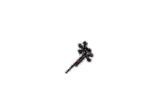 CCCCCCCCCCCCCCCCCCCCCCCCCCN[C@@H](CO[C@@H]1O[C@H](Cn2ccnn2)[C@H](OCc2ccccc2)[C@H](OCc2ccccc2)[C@H]1OCc1ccccc1)[C@H](OCc1ccccc1)[C@@H](CCCCCCCCCCCCCC)OCc1ccccc1